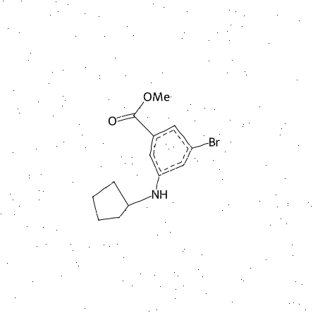 COC(=O)c1cc(Br)cc(NC2CCCC2)c1